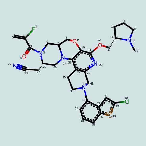 C=C(F)C(=O)N1CC2COc3c(OC[C@@H]4CCCN4C)nc4c(c3N2C[C@@H]1CC#N)CCN(c1cccc2sc(Cl)cc12)C4